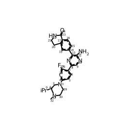 CC(C)[C@H]1CN(c2ccc(-c3cnc(N)c(-c4ccc5c(c4)CCNC5=O)n3)c(F)c2)CCN1C